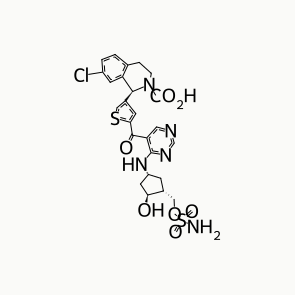 NS(=O)(=O)OC[C@H]1C[C@@H](Nc2ncncc2C(=O)c2cc([C@H]3c4cc(Cl)ccc4CCN3C(=O)O)cs2)C[C@@H]1O